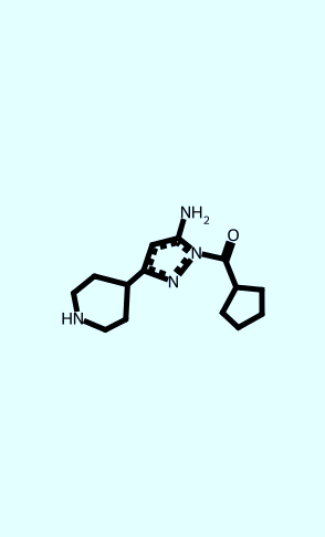 Nc1cc(C2CCNCC2)nn1C(=O)C1CCCC1